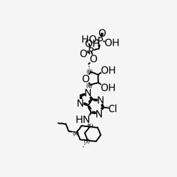 CCC[C@@H]1C[C@]2(C)CCC[C@](Nc3nc(Cl)nc4c3ncn4[C@@H]3O[C@H](COP(=O)(O)CP(=O)(O)O)C(O)C3O)(C1)C2